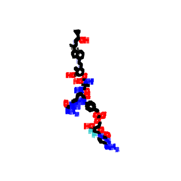 C=C1/C(=C\C=C2/CCC[C@@]3(C)C2CCC3[C@@H](C)/C=C/C(O)C2CC2)CC(OC(O)NC(C)(C)C(=O)NC(CCCNC(N)=O)C(=O)Nc2ccc(COC(=O)OCC3OC(n4ccc(N)nc4=O)C(F)(F)C3O)cc2)C[C@@H]1O